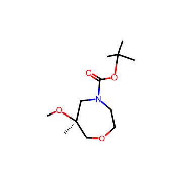 CO[C@]1(C)COCCN(C(=O)OC(C)(C)C)C1